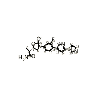 CC(C(N)=O)[C@H]1CN(c2ccc(-c3ccc(-n4ccnc4)nc3)c(F)c2)C(=O)O1